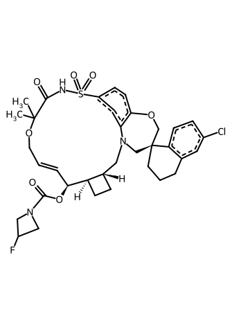 CC1(C)OC/C=C/[C@H](OC(=O)N2CC(F)C2)[C@@H]2CC[C@H]2CN2C[C@@]3(CCCc4cc(Cl)ccc43)COc3ccc(cc32)S(=O)(=O)NC1=O